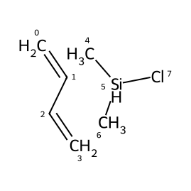 C=CC=C.C[SiH](C)Cl